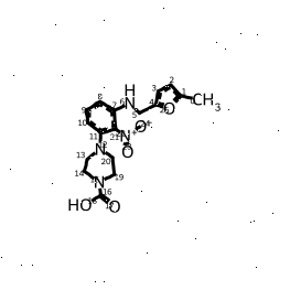 Cc1ccc(CNc2cccc(N3CCN(C(=O)O)CC3)c2[N+](=O)[O-])o1